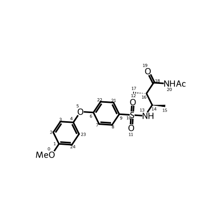 COc1ccc(Oc2ccc(S(=O)(=O)N[C@H](C)[C@H](C)C(=O)NC(C)=O)cc2)cc1